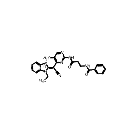 CCN1/C(=C(\C#N)c2nc(NC(=O)CCNC(=O)c3ccccc3)ncc2C)Nc2ccccc21